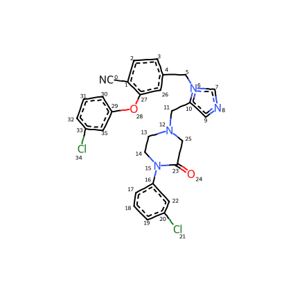 N#Cc1ccc(Cn2cncc2CN2CCN(c3cccc(Cl)c3)C(=O)C2)cc1Oc1cccc(Cl)c1